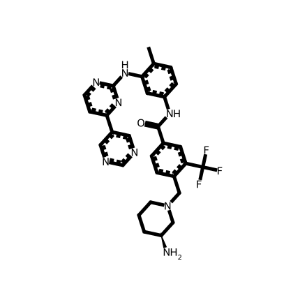 Cc1ccc(NC(=O)c2ccc(CN3CCC[C@H](N)C3)c(C(F)(F)F)c2)cc1Nc1nccc(-c2cncnc2)n1